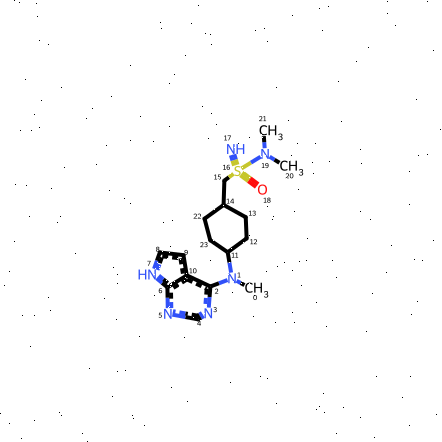 CN(c1ncnc2[nH]ccc12)C1CCC(CS(=N)(=O)N(C)C)CC1